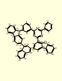 c1ccc(-c2nc(-c3cccc(-n4c5ccccc5c5ccc(-c6cccc7ccccc67)cc54)c3)nc(-c3cccc4c3oc3ccccc34)n2)cc1